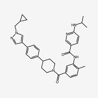 Cc1ccc(C(=O)N2CCC(c3ccc(-c4cnn(CC5CC5)c4)cc3)CC2)cc1NC(=O)c1ccc(NC(C)C)nc1